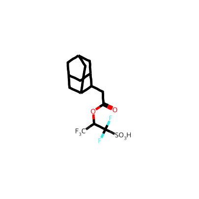 O=C(CC1C2CC3CC(C2)CC1C3)OC(C(F)(F)F)C(F)(F)S(=O)(=O)O